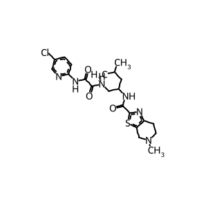 CC(C)CC(CNC(=O)C(=O)Nc1ccc(Cl)cn1)NC(=O)c1nc2c(s1)CN(C)CC2